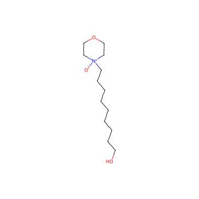 [O-][N+]1(CCCCCCCCCO)CCOCC1